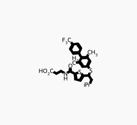 Cc1cc(SC(CC(C)C)c2ccc(C(=O)NCCC(=O)O)s2)cc(C)c1-c1ccc(C(F)(F)F)cc1